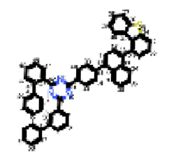 c1ccc(-c2cccc(-c3nc(-c4ccc(-c5ccc(-c6cccc7sc8ccccc8c67)c6ccccc56)cc4)nc(-c4ccccc4-c4ccccc4)n3)c2)cc1